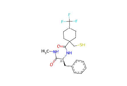 CNC(=O)[C@H](Cc1ccccc1)NC(=O)C1(CS)CCC(C(F)(F)F)CC1